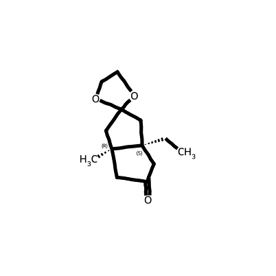 CC[C@]12CC(=O)C[C@@]1(C)CC1(C2)OCCO1